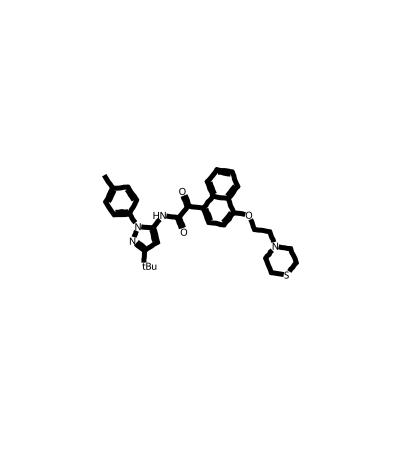 Cc1ccc(-n2nc(C(C)(C)C)cc2NC(=O)C(=O)c2ccc(OCCN3CCSCC3)c3ccccc23)cc1